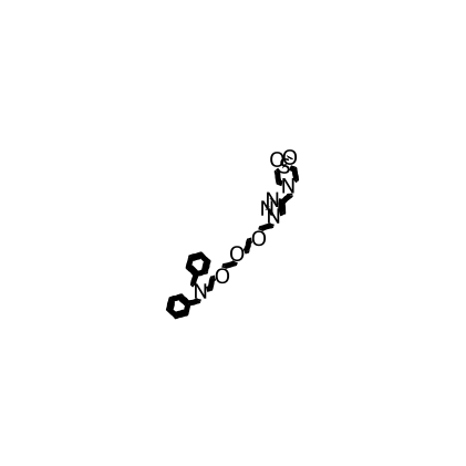 O=S1(=O)CCN(Cc2cn(CCOCCOCCOCCN(Cc3ccccc3)Cc3ccccc3)nn2)CC1